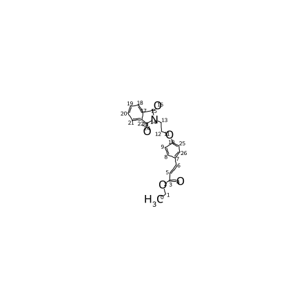 CCOC(=O)C=Cc1ccc(OCCN2C(=O)c3ccccc3C2=O)cc1